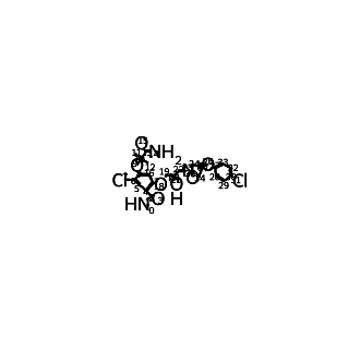 CNC(=O)c1cc(Cl)c(OC(C)(C)C(N)=O)cc1OC[C@@H](O)CN1C[C@@H](Oc2ccc(Cl)cc2)CO1